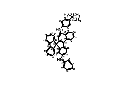 CC(C)(C)c1ccc(Nc2cc3c(c4ccccc24)-c2ccc(Nc4ccccc4)cc2C32c3ccccc3-c3ccccc32)cc1